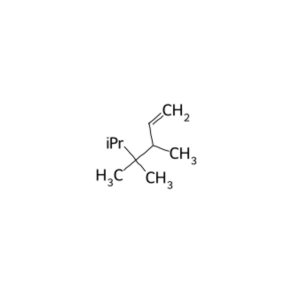 C=CC(C)C(C)(C)C(C)C